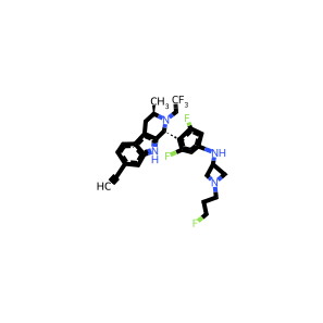 C#Cc1ccc2c3c([nH]c2c1)[C@@H](c1c(F)cc(NC2CN(CCCF)C2)cc1F)N(CC(F)(F)F)[C@H](C)C3